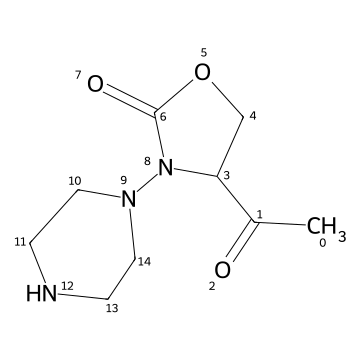 CC(=O)C1COC(=O)N1N1CCNCC1